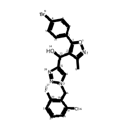 Cc1noc(-c2ccc(Br)cc2)c1C(O)c1cn(Cc2c(F)cccc2Cl)nn1